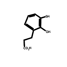 O=C(O)CCc1cccc(S)c1O